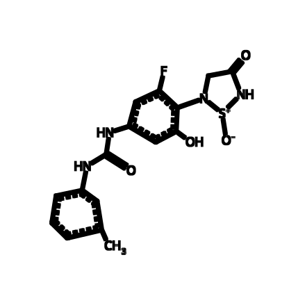 Cc1cccc(NC(=O)Nc2cc(O)c(N3CC(=O)N[S+]3[O-])c(F)c2)c1